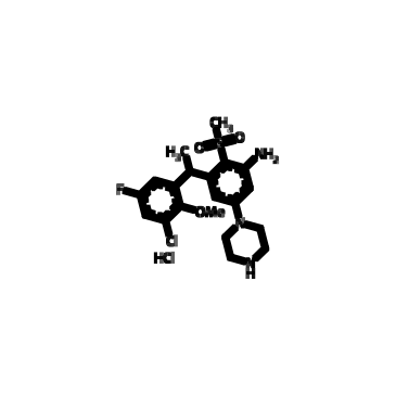 COc1c(Cl)cc(F)cc1C(C)c1cc(N2CCNCC2)cc(N)c1S(C)(=O)=O.Cl